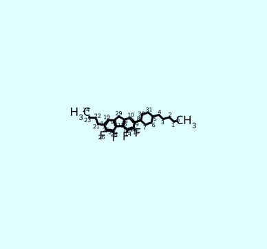 CCCCCC1CCC(c2cc3c(c(F)c2F)-c2c(cc(CCCC)c(F)c2F)C3)CC1